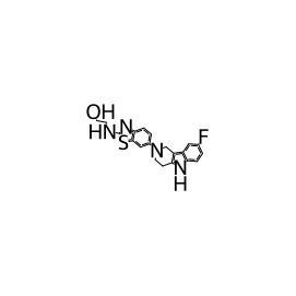 OCCNc1nc2ccc(N3CCc4[nH]c5ccc(F)cc5c4C3)cc2s1